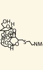 CNCCSCC1O[C@@H]2OCCCCCC3C(CO)O[C@H](OC1[C@H](O)C2O)C(O)[C@H]3O